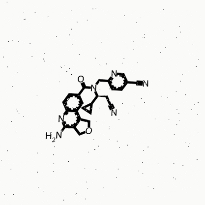 N#CC[C@@H](C1CC1)N(Cc1ccc(C#N)cn1)C(=O)c1ccc2nc(N)c3c(c2c1)COC3